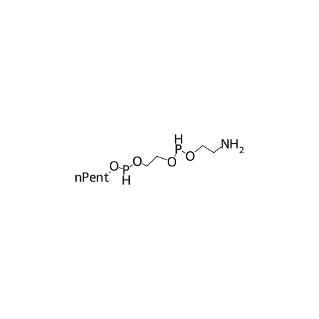 CCCCCOPOCCOPOCCN